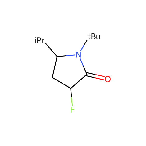 CC(C)C1CC(F)C(=O)N1C(C)(C)C